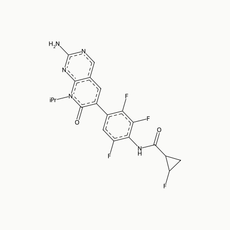 CC(C)n1c(=O)c(-c2cc(F)c(NC(=O)C3CC3F)c(F)c2F)cc2cnc(N)nc21